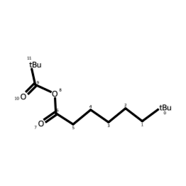 CC(C)(C)CCCCCC(=O)OC(=O)C(C)(C)C